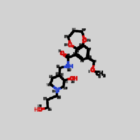 COCc1cc2c(c(C(=O)NC[C@@H]3CCN(CCCO)CC3O)c1)OCCCO2